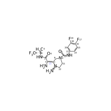 C[C@H](NC(=O)/C(N)=C1\CN(C(=O)Nc2ccc(F)c(F)c2)CCN1N)C(F)(F)F